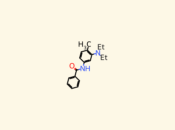 CCN(CC)c1cc(NC(=O)c2ccccc2)ccc1C